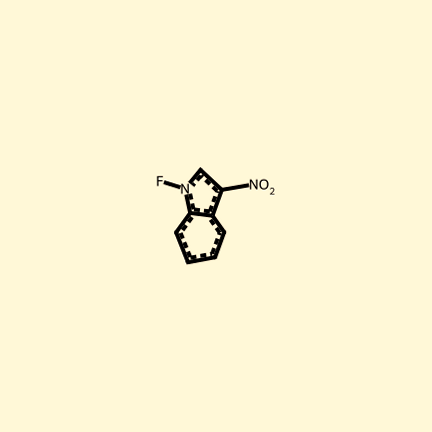 O=[N+]([O-])c1cn(F)c2ccccc12